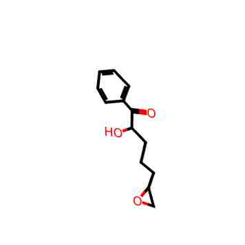 O=C(c1ccccc1)C(O)CCCC1CO1